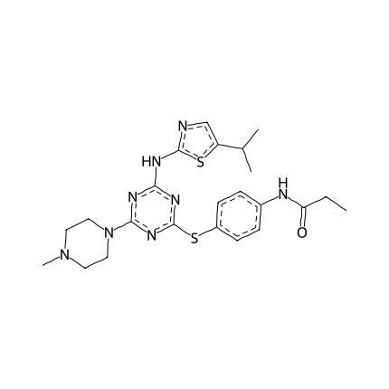 CCC(=O)Nc1ccc(Sc2nc(Nc3ncc(C(C)C)s3)nc(N3CCN(C)CC3)n2)cc1